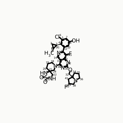 C[C@H]1C[C@H]1c1c(Cl)cc(O)cc1-c1ncc2c(N3CCCC4(CNS(=O)(=O)N4)C3)nc(OC[C@@]34CCCN3C[C@H](F)C4)nc2c1F